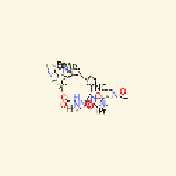 C=CC(=O)N1C[C@H](C#N)[C@H](C(=O)N(C)[C@H](C(=O)N[C@H]2Cc3cccc(c3)-c3ccc4c(c3)c(c(/C(C=C)=C(/N=C\C)[C@H](C)OC)n4CC)CC(C)(C)COC(=O)[C@@H]3CCCN(N3)C2=O)C(C)C)C1